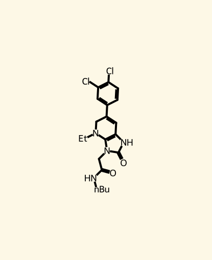 CCCCNC(=O)Cn1c2c([nH]c1=O)C=C(c1ccc(Cl)c(Cl)c1)CN2CC